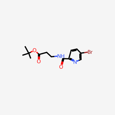 CC(C)(C)OC(=O)CCNC(=O)c1ccc(Br)cn1